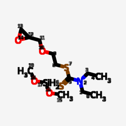 CCN(CC)C(=S)SCCOCC1CO1.CO[SiH2]OC